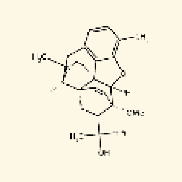 CCCC(C)(O)C1C[C@@]23C=C[C@@]1(OC)[C@@H]1Oc4c(C)ccc5c4[C@@]12CCN(C)[C@@H]3C5